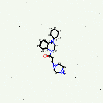 CN1CCN(CCC(=O)N2CCN(C3CCCCC3)c3ccccc32)CC1